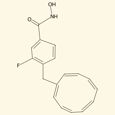 O=C(NO)c1ccc(Cc2ccccccccc2)c(F)c1